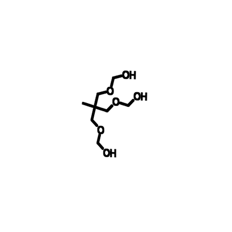 CC(COCO)(COCO)COCO